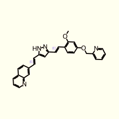 COc1cc(OCc2ccccn2)ccc1/C=C/c1cc(/C=C/c2ccc3cccnc3c2)[nH]n1